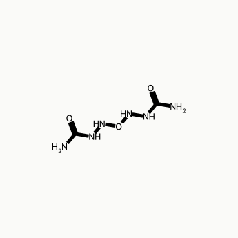 NC(=O)NNONNC(N)=O